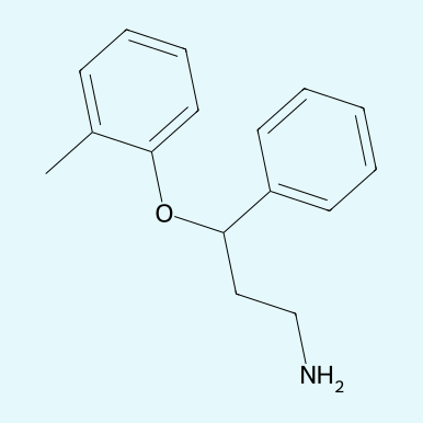 Cc1ccccc1OC(CCN)c1ccccc1